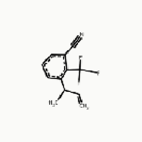 [CH2]C(C=C)c1cccc(C#N)c1C(F)(F)F